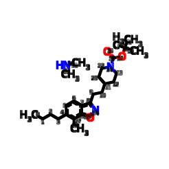 CCCCc1ccc2c(CCC3CCN(C(=O)OC(C)(C)C)CC3)noc2c1C.CNC